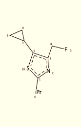 CC(C)c1nc(CF)c(C2CC2)s1